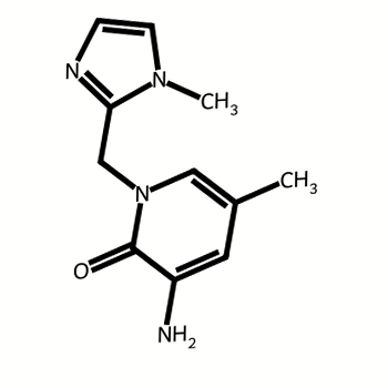 Cc1cc(N)c(=O)n(Cc2nccn2C)c1